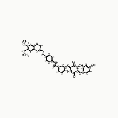 COc1cc2c(cc1OC)CN(CCc1ccc(NC(=O)c3cccc(C=c4[nH]c(=O)c(=Cc5ccc(O)cc5)n(C)c4=O)c3)cc1)CC2